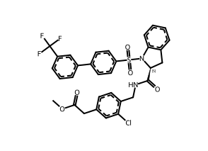 COC(=O)Cc1ccc(CNC(=O)[C@@H]2Cc3ccccc3N2S(=O)(=O)c2ccc(-c3cccc(C(F)(F)F)c3)cc2)c(Cl)c1